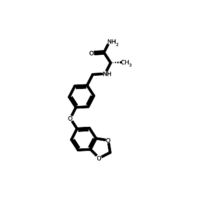 C[C@H](NCc1ccc(Oc2ccc3c(c2)OCO3)cc1)C(N)=O